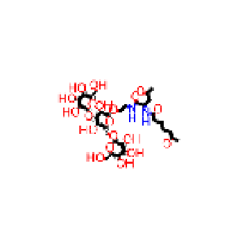 CC(=O)CCCCC(=O)NC(CC(C)=O)C(=O)NCCO[C@H]1O[C@H](CO[C@H]2O[C@H](CO)[C@@H](O)[C@H](O)[C@@H]2O)[C@@H](O)[C@H](O[C@H]2O[C@H](CO)[C@@H](O)[C@H](O)[C@@H]2O)[C@@H]1O